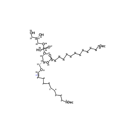 CCCCCCCCCCCCCCCCCC/C=C\OC[C@H](COP(=O)(O)OC[C@@H](O)CO)OC(=O)CCCCCCCCCCCCCCCCCCCCC